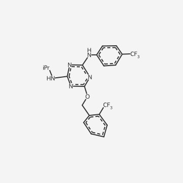 CC(C)Nc1nc(Nc2ccc(C(F)(F)F)cc2)nc(OCc2ccccc2C(F)(F)F)n1